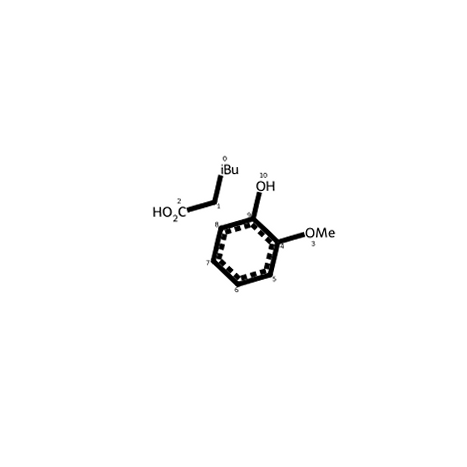 CCC(C)CC(=O)O.COc1ccccc1O